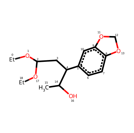 CCOC(CC(c1ccc2c(c1)OCO2)C(C)O)OCC